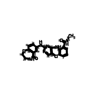 CNC(=O)c1ccccc1Nc1nc(Nc2ccc3c(c2)C(=O)NCCO3)ncc1Cl